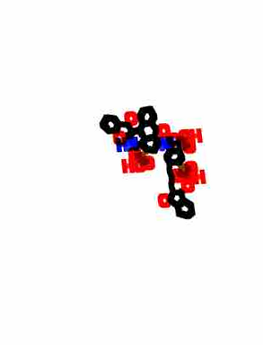 O=C(c1ccccc1)c1c2c3c(c(Nc4cc(CCCC5C(=O)c6ccccc6C5=O)c(S(=O)(=O)O)cc4S(=O)(=O)O)cc(S(=O)(=O)O)c3[nH]c1=O)C(=O)c1ccccc1-2